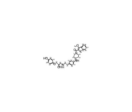 COc1c(C(=O)N2CCC(Nc3ccc(CCNCC(O)COc4ccc(O)cc4)cc3)CC2)sc2ccccc12